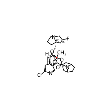 CC(C)(C)OC(=O)N1C2CCC1CN(c1nc(OC[C@]34CCCN3C[C@@H](F)C4)nc3cc(Cl)ncc13)C2